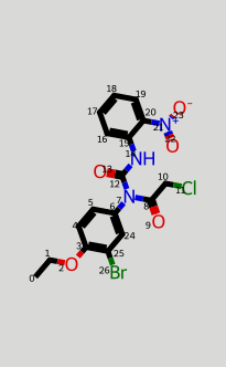 CCOc1ccc(N(C(=O)CCl)C(=O)Nc2ccccc2[N+](=O)[O-])cc1Br